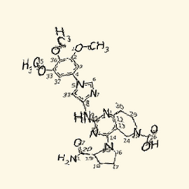 COc1cc(-n2cnc(Nc3nc4c(c(N5CCC[C@H]5C(N)=O)n3)CN(C(=O)O)CC4)c2)cc(OC)c1OC